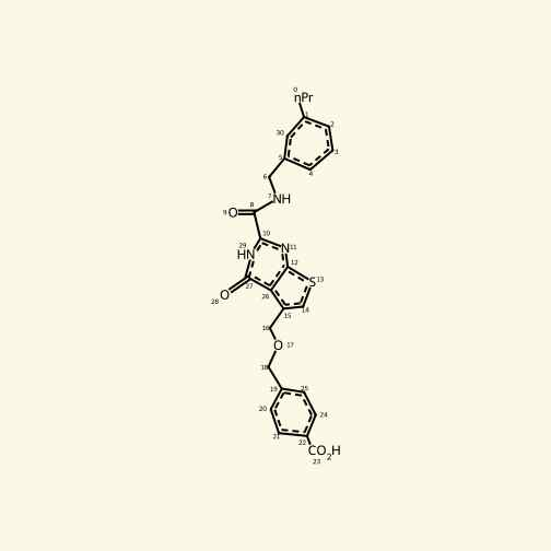 CCCc1cccc(CNC(=O)c2nc3scc(COCc4ccc(C(=O)O)cc4)c3c(=O)[nH]2)c1